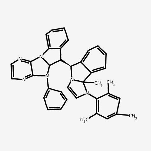 Cc1cc(C)c(N2C=CN3[C@@H](C4c5ccccc5N5c6nccnc6N(c6ccccc6)C45)c4ccccc4C23C)c(C)c1